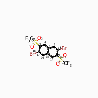 O=S(=O)(c1cc2cc(Br)c(S(=O)(=O)C(F)(F)F)cc2cc1Br)C(F)(F)F